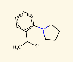 CC(C)c1ccccc1N1CCCC1